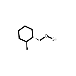 C[C@H]1CCCC[C@@H]1COS